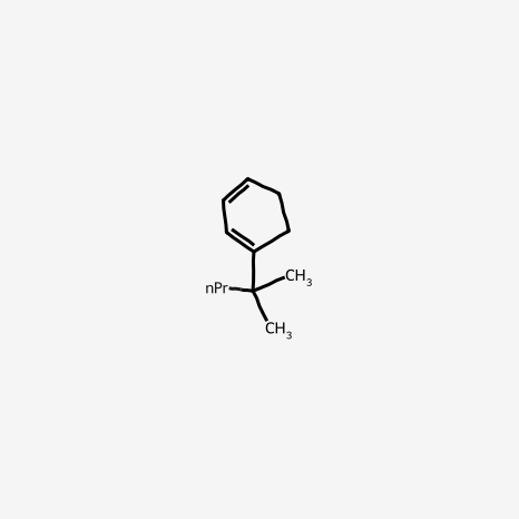 CCCC(C)(C)C1=CC=CCC1